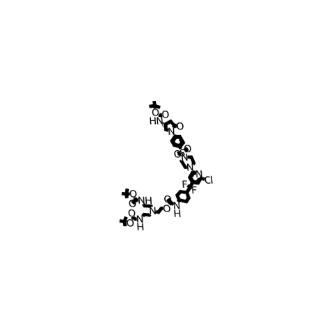 CC(C)(C)OC(=O)NCCN(CCNC(=O)OC(C)(C)C)CCOC(=O)NC1CCC(C(F)(F)c2cc(Cl)nc(N3CCN(S(=O)(=O)c4ccc(N5C[C@H](NC(=O)OC(C)(C)C)CC5=O)cc4)CC3)c2)CC1